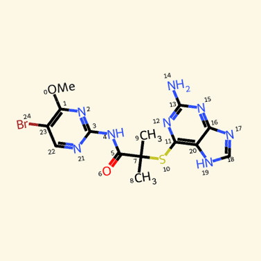 COc1nc(NC(=O)C(C)(C)Sc2nc(N)nc3nc[nH]c23)ncc1Br